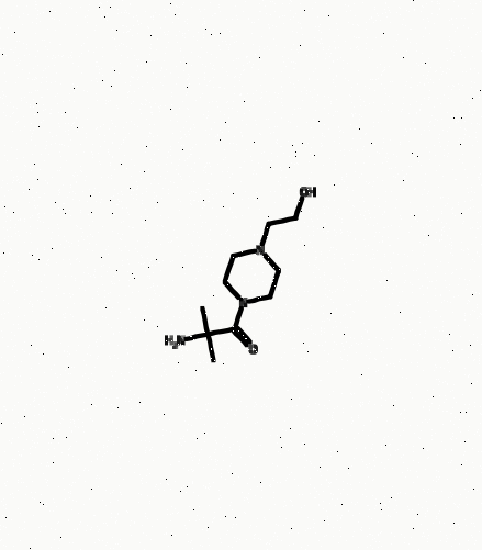 CC(C)(N)C(=O)N1CCN(CCO)CC1